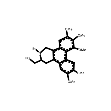 CCN1Cc2c(c3cc(OC)c(OC)cc3c3c(OC)c(OC)c(OC)cc23)CC1CO